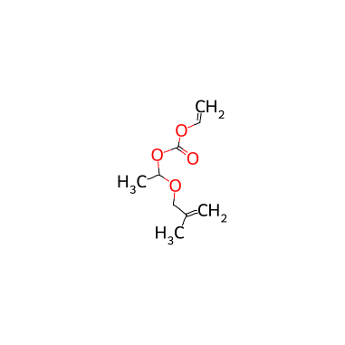 C=COC(=O)OC(C)OCC(=C)C